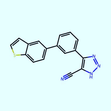 N#Cc1[nH]nnc1-c1cccc(-c2ccc3sccc3c2)c1